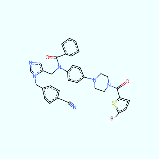 N#Cc1ccc(Cn2cncc2CN(C(=O)c2ccccc2)c2ccc(N3CCN(C(=O)c4ccc(Br)s4)CC3)cc2)cc1